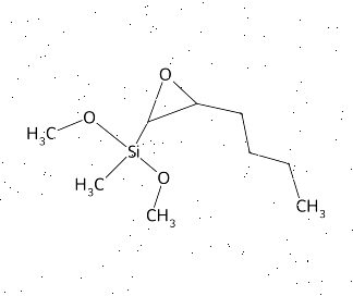 CCCCC1OC1[Si](C)(OC)OC